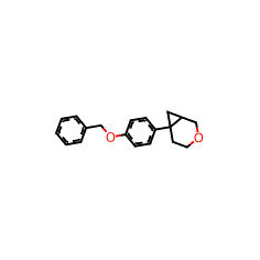 c1ccc(COc2ccc(C34CCOCC3C4)cc2)cc1